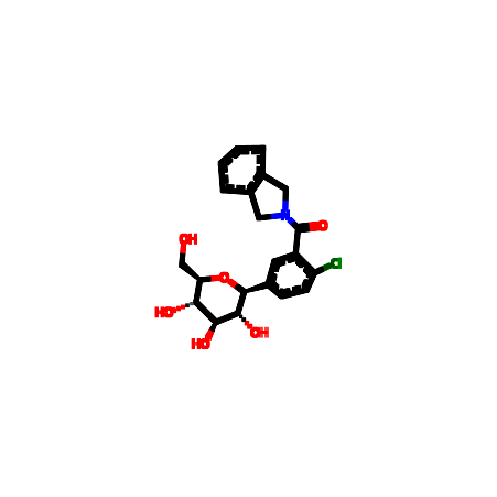 O=C(c1cc([C@@H]2O[C@H](CO)[C@@H](O)[C@H](O)[C@H]2O)ccc1Cl)N1Cc2ccccc2C1